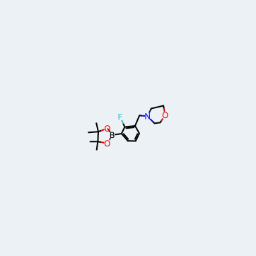 CC1(C)OB(c2cccc(CN3CCOCC3)c2F)OC1(C)C